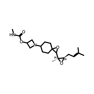 CNC(=O)OC1CN(C2CCC3(CC2)OC3[C@]2(C)O[C@@H]2CC=C(C)C)C1